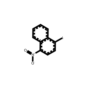 O=[N+]([O-])c1ccc(I)c2ccccc12